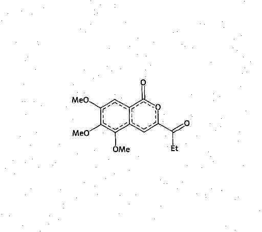 CCC(=O)c1cc2c(OC)c(OC)c(OC)cc2c(=O)o1